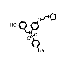 CCCc1ccc(S(=O)(=O)N(Cc2cccc(O)c2)c2ccc(OCCN3CCCC3)cc2)cc1